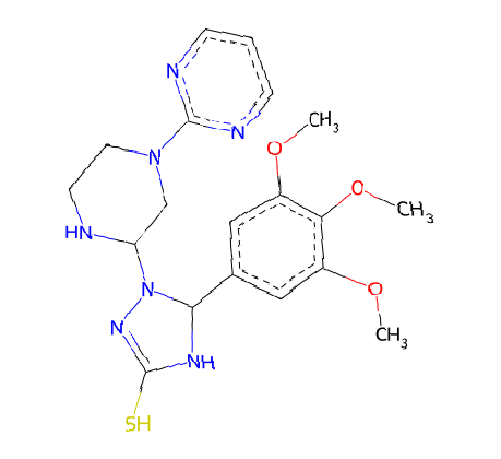 COc1cc(C2NC(S)=NN2C2CN(c3ncccn3)CCN2)cc(OC)c1OC